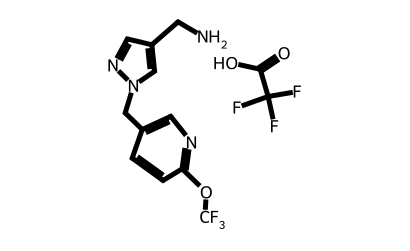 NCc1cnn(Cc2ccc(OC(F)(F)F)nc2)c1.O=C(O)C(F)(F)F